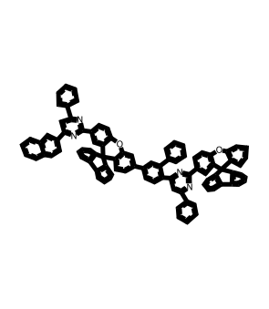 c1ccc(-c2cc(-c3ccc4ccccc4c3)nc(-c3ccc4c(c3)C3(c5ccc(-c6ccc(-c7cc(-c8ccccc8)nc(-c8ccc9c(c8)C8(c%10ccccc%10O9)c9ccccc9-c9ccccc98)n7)c(-c7ccccc7)c6)cc5O4)c4ccccc4-c4ccccc43)n2)cc1